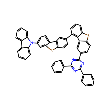 c1ccc(-c2nc(-c3ccccc3)nc(-c3ccc4sc5cccc(-c6ccc7sc8cc(-n9c%10ccccc%10c%10ccccc%109)ccc8c7c6)c5c4c3)n2)cc1